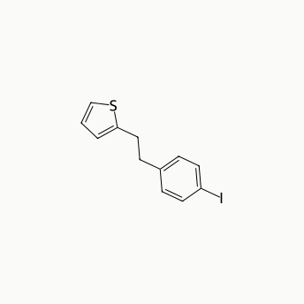 Ic1ccc(CCc2cccs2)cc1